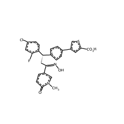 Cn1cc(C(C[C@@H](c2ccc(-c3csc(C(=O)O)c3)cc2)c2ccc(Cl)cc2F)=NO)ccc1=O